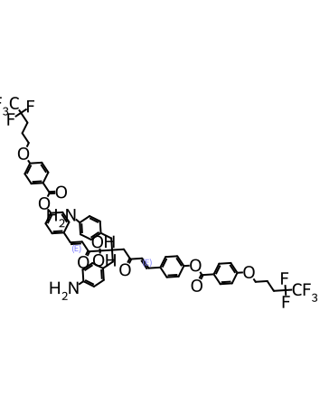 Nc1ccc(CC(CC(=O)/C=C/c2ccc(OC(=O)c3ccc(OCCCC(F)(F)C(F)(F)F)cc3)cc2)(Cc2ccc(N)cc2)C(O)(O)C(=O)/C=C/c2ccc(OC(=O)c3ccc(OCCCC(F)(F)C(F)(F)F)cc3)cc2)cc1